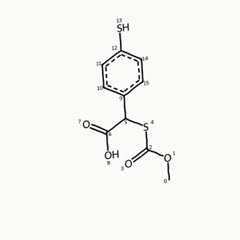 COC(=O)SC(C(=O)O)c1ccc(S)cc1